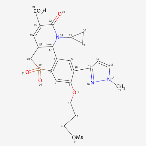 COCCCOc1cc2c(cc1-c1ccn(C)n1)-c1c(cc(C(=O)O)c(=O)n1C1CC1)CS2(=O)=O